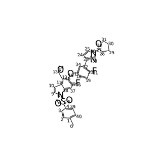 Cc1ccc(S(=O)(=O)n2ccc3c(C=O)c(Oc4ccc(F)c(-c5ccn(C6CCCCO6)n5)c4)c(F)cc32)cc1